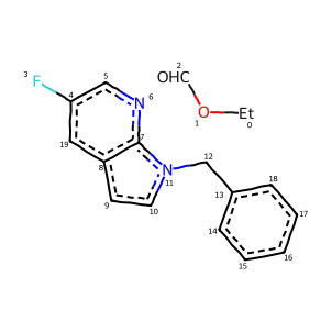 CCOC=O.Fc1cnc2c(ccn2Cc2ccccc2)c1